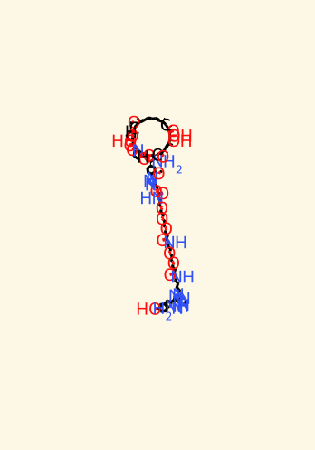 CO[C@H]1C[C@@H]2CC[C@@H](C)[C@@](O)(O2)C(=O)C(=O)N2CCCC[C@H]2C(=O)O[C@H]([C@H](N)C[C@@H]2CC[C@H](n3cc(COC(=O)NCCOCCOCCOCCC(=O)NCCOCCOCCC(=O)NCCCCn4nc(-c5cc6cc(O)ccc6[nH]5)c5c(N)ncnc54)nn3)[C@H](OC)C2)CC(=O)[C@H](C)/C=C(\C)[C@@H](O)[C@@H](O)C(=O)[C@H](C)C[C@H](C)/C=C/C=C/C=C/1C